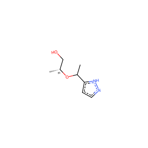 CC(O[C@H](C)CO)c1ccn[nH]1